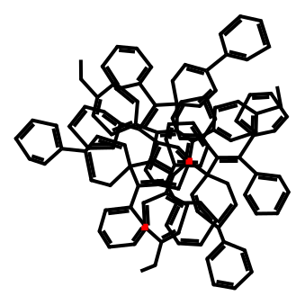 CCc1ccc(-c2c(C3(C(=C(c4ccccc4)c4ccccc4)c4ccccc4)C=CC(c4ccccc4)=CC3)c(-c3ccc(CC)cc3)c(C3(C(=C(c4ccccc4)c4ccccc4)c4ccccc4)C=CC(c4ccccc4)=CC3)c(-c3ccc(CC)cc3)c2C2(C(=C(c3ccccc3)c3ccccc3)c3ccccc3)C=CC(c3ccccc3)=CC2)cc1